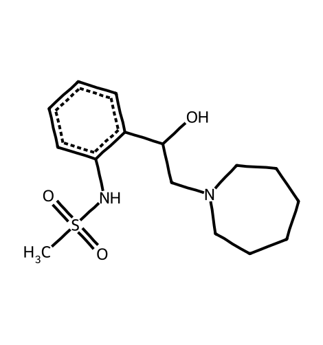 CS(=O)(=O)Nc1ccccc1C(O)CN1CCCCCC1